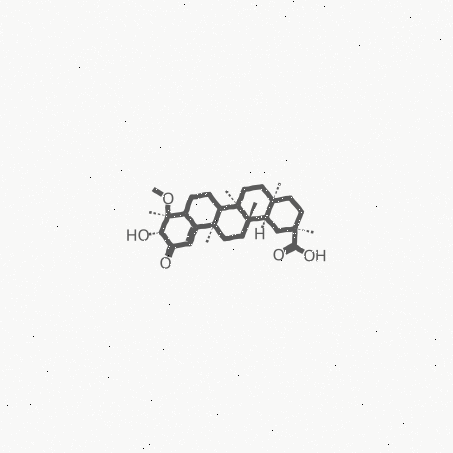 CO[C@@]1(C)C2CCC3[C@@](C)(CC[C@@]4(C)[C@@H]5C[C@](C)(C(=O)O)CC[C@]5(C)CC[C@]34C)C2=CC(=O)[C@@H]1O